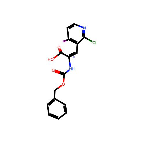 O=C(N/C(=C/c1c(I)ccnc1Cl)C(=O)O)OCc1ccccc1